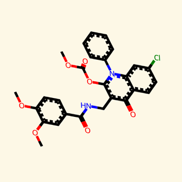 COC(=O)Oc1c(CNC(=O)c2ccc(OC)c(OC)c2)c(=O)c2ccc(Cl)cc2n1-c1ccccc1